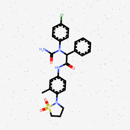 Cc1cc(NC(=O)C(c2ccccc2)N(C(N)=O)c2ccc(Cl)cc2)ccc1N1CCCS1(=O)=O